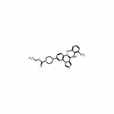 CCOC(=O)N1CCN(c2ccc3nc(Nc4c(C)cccc4Cl)c4cncn4c3c2)CC1